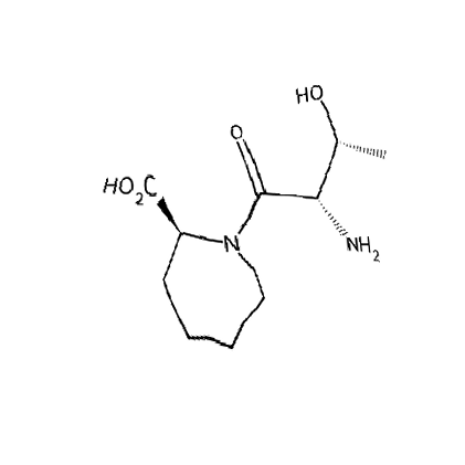 C[C@@H](O)[C@H](N)C(=O)N1CCCC[C@H]1C(=O)O